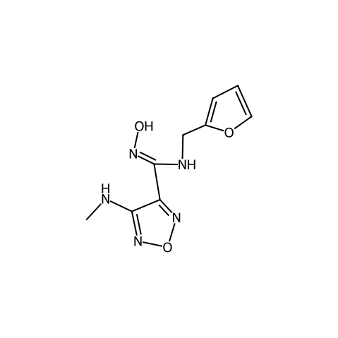 CNc1nonc1/C(=N/O)NCc1ccco1